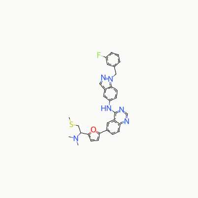 CSCC(c1ccc(-c2ccc3ncnc(Nc4ccc5c(cnn5Cc5cccc(F)c5)c4)c3c2)o1)N(C)C